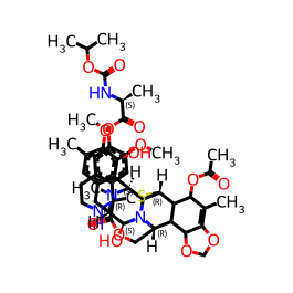 COc1cc2c(cc1OC(=O)[C@H](C)NC(=O)OC(C)C)CCN[C@]21CS[C@@H]2C3C(OC(C)=O)C(C)=C4OCOC4C3[C@H](COC1=O)N1C2[C@@H]2c3c(cc(C)c(OC)c3O)C[C@@H]([C@@H]1O)N2C